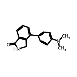 CN(C)c1ccc(-c2cccc3c2CNC3=O)cc1